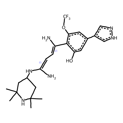 CC1(C)CC(N/C(N)=C/C=C(\N)c2c(O)cc(-c3cn[nH]c3)cc2OC(F)(F)F)CC(C)(C)N1